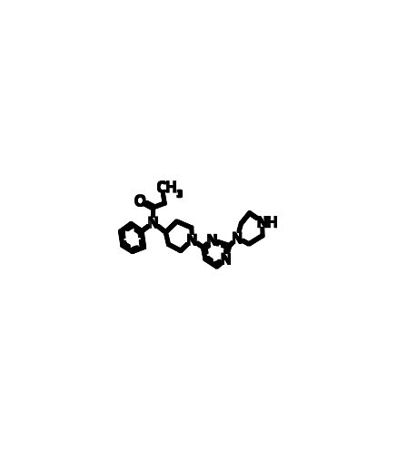 CCC(=O)N(c1ccccc1)C1CCN(c2ccnc(N3CCNCC3)n2)CC1